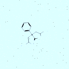 CCCCC(CC)CC(CC(CC)CCCC)(C(N)=O)c1ccccc1